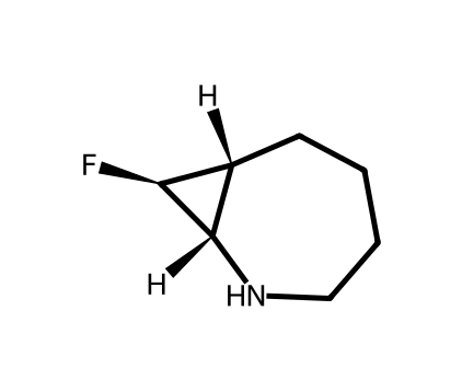 F[C@H]1[C@@H]2CCCCN[C@H]12